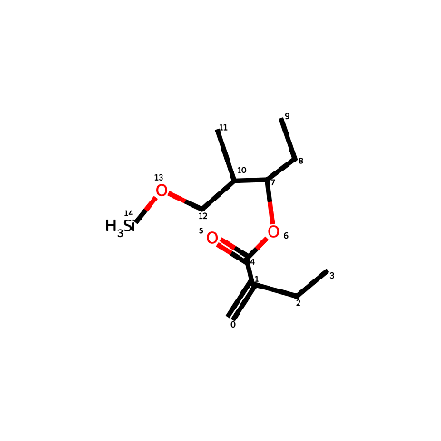 C=C(CC)C(=O)OC(CC)C(C)CO[SiH3]